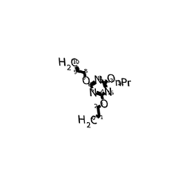 C=CCOc1nc(OCC=C)nc(OCCC)n1